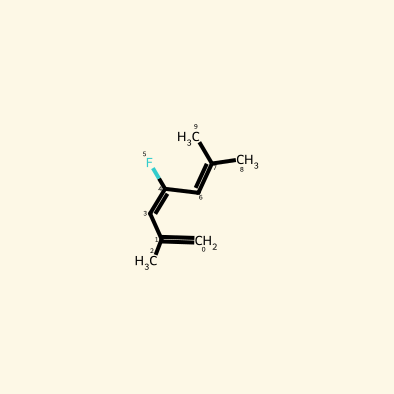 C=C(C)/C=C(/F)C=C(C)C